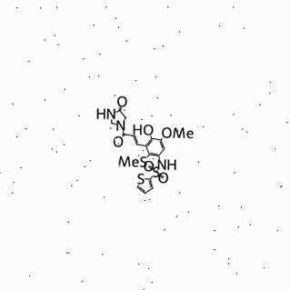 COc1cc(NS(=O)(=O)c2cccs2)c(SC)c(C=CC(=O)N2CNC(=O)C2)c1O